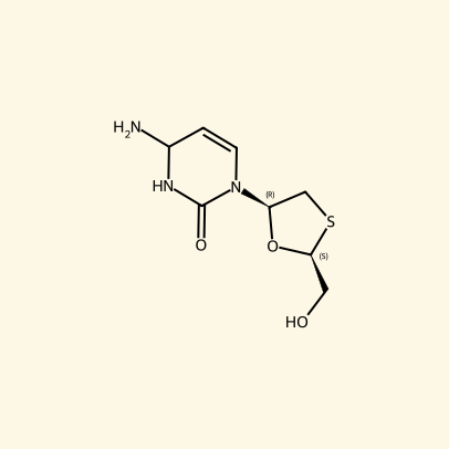 NC1C=CN([C@H]2CS[C@@H](CO)O2)C(=O)N1